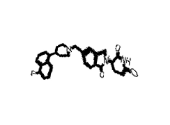 O=C1CCC(N2Cc3cc(CN4CCC(c5cccc6c(F)cccc56)CC4)ccc3C2=O)C(=O)N1